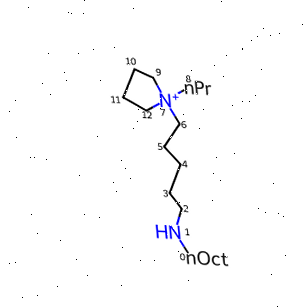 CCCCCCCCNCCCCC[N+]1(CCC)CCCC1